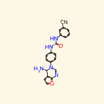 N#Cc1cccc(NC(=O)Nc2ccc(N3C=Nc4occc4C3N)cc2)c1